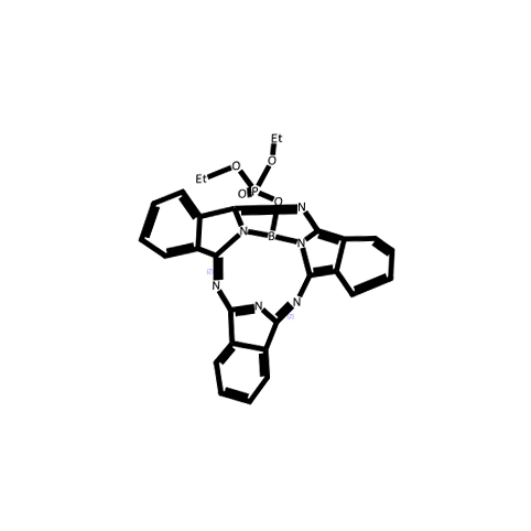 CCOP(=O)(OCC)OB1n2c3c4ccccc4c2/N=C2N=C(/N=c4/c5ccccc5c(n41)=N3)c1ccccc1\2